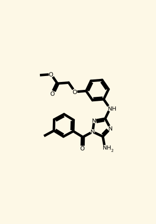 COC(=O)COc1cccc(Nc2nc(N)n(C(=O)c3cccc(C)c3)n2)c1